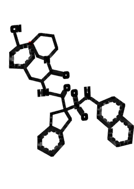 N#Cc1ccc(CC(NC(=O)C2(S(=O)(=O)Nc3ccc4ccccc4c3)Cc3ccccc3C2)C(=O)N2CCCCC2)cc1